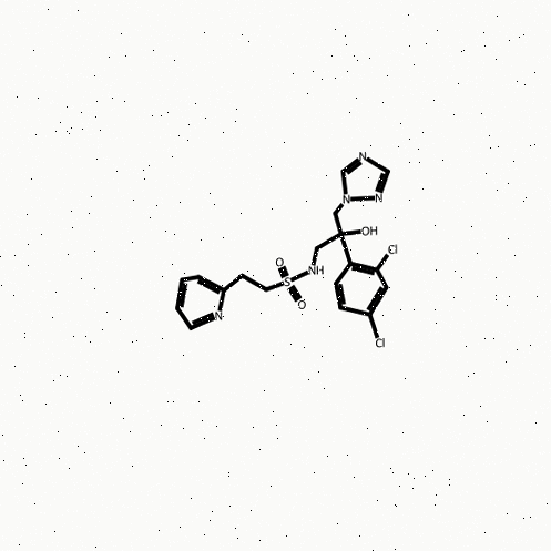 O=S(=O)(CCc1ccccn1)NCC(O)(Cn1cncn1)c1ccc(Cl)cc1Cl